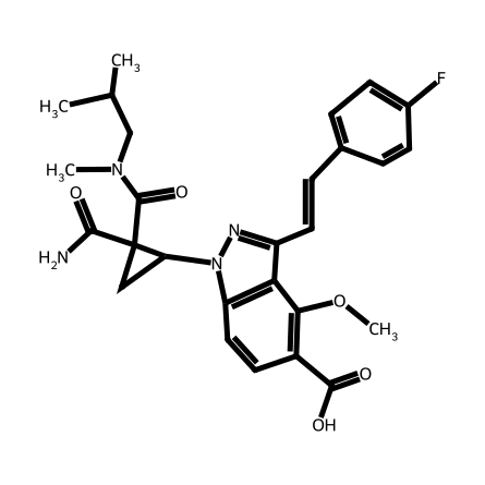 COc1c(C(=O)O)ccc2c1c(C=Cc1ccc(F)cc1)nn2C1CC1(C(N)=O)C(=O)N(C)CC(C)C